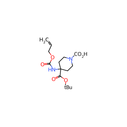 C=CCOC(=O)NC1(C(=O)OC(C)(C)C)CCN(C(=O)O)CC1